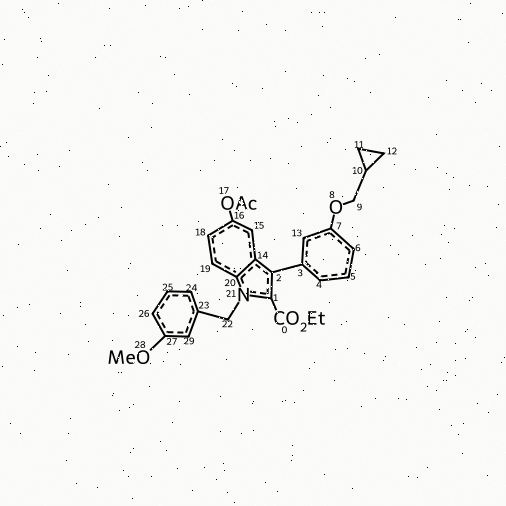 CCOC(=O)c1c(-c2cccc(OCC3CC3)c2)c2cc(OC(C)=O)ccc2n1Cc1cccc(OC)c1